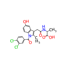 Cc1c(CC(=O)NC(C)C(=O)O)c2cc(O)ccc2n1C(=O)c1ccc(Cl)c(Cl)c1